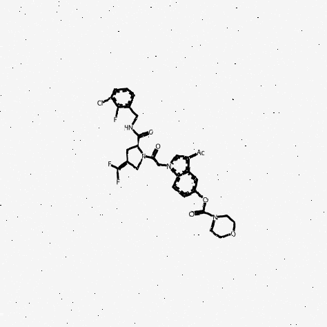 CC(=O)c1cn(CC(=O)N2CC(=C(F)F)C[C@H]2C(=O)NCc2cccc(Cl)c2F)c2ccc(OC(=O)N3CCOCC3)cc12